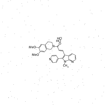 COc1cc2c(cc1OC)CN(C(=O)/C=C/c1c(-c3ccncc3)n(C)c3ncccc13)CC2.Cl.Cl